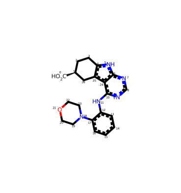 O=C(O)[C@H]1CCc2[nH]c3ncnc(Nc4ccccc4N4CCOCC4)c3c2C1